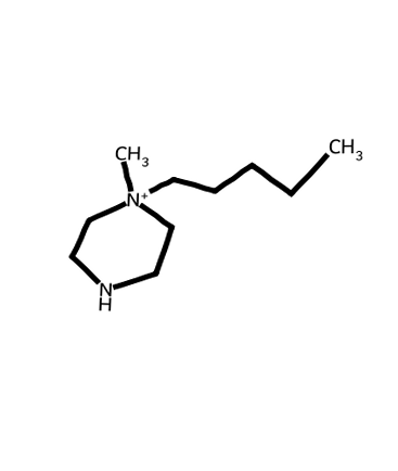 CCCCC[N+]1(C)CCNCC1